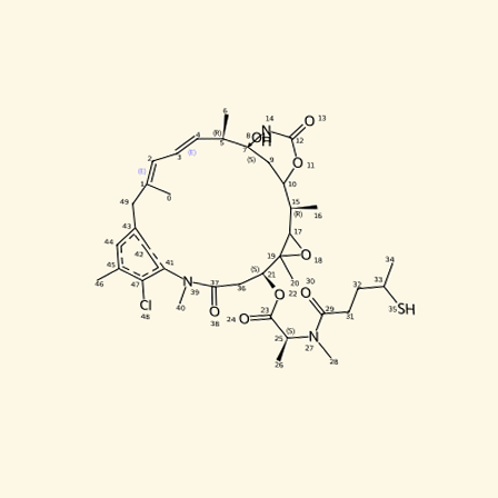 C/C1=C\C=C\[C@@H](C)[C@@]2(O)CC(OC(=O)N2)[C@@H](C)C2OC2(C)[C@@H](OC(=O)[C@H](C)N(C)C(=O)CCC(C)S)CC(=O)N(C)c2cc(cc(C)c2Cl)C1